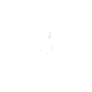 CC(=O)C=O.CC(C)(S)[C@@H](N)C(=O)O